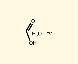 O.O=CO.[Fe]